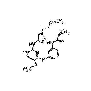 C=CC(=O)Nc1cccc(NC2=NC(Nc3cnn(CCOC)c3)NC=C2SC)c1